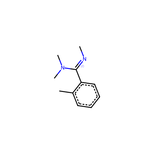 C/N=C(/c1ccccc1C)N(C)C